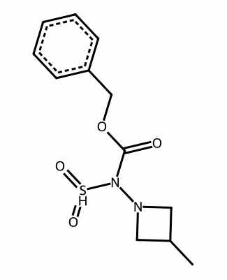 CC1CN(N(C(=O)OCc2ccccc2)[SH](=O)=O)C1